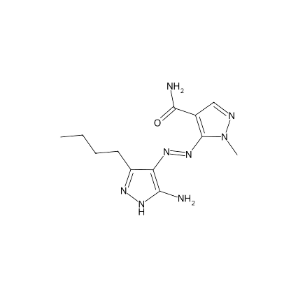 CCCCc1n[nH]c(N)c1N=Nc1c(C(N)=O)cnn1C